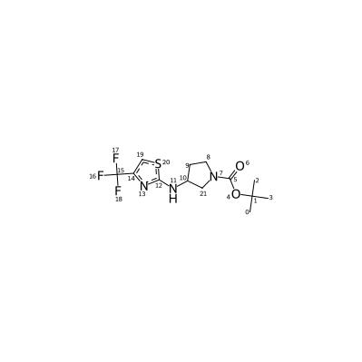 CC(C)(C)OC(=O)N1CCC(Nc2nc(C(F)(F)F)cs2)C1